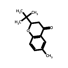 Cc1ccc2c(c1)C(=O)CC(C(C)(C)C)O2